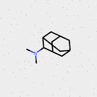 CN(C)C1C2CC3CC(C2)CC1C3